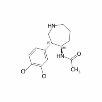 CC(=O)N[C@@H]1CCCNC[C@H]1c1ccc(Cl)c(Cl)c1